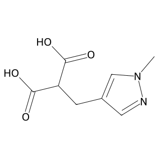 Cn1cc(CC(C(=O)O)C(=O)O)cn1